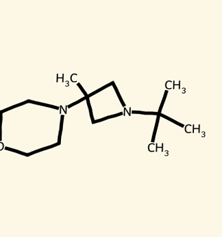 CC(C)(C)N1CC(C)(N2CCOCC2)C1